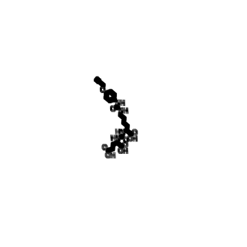 C#CCOc1ccc(NC(=O)NCCCCC(NC(=O)NC(CCC(=O)O)C(=O)O)C(=O)O)cc1